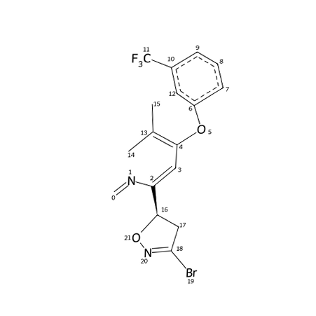 C=N/C(=C\C(Oc1cccc(C(F)(F)F)c1)=C(C)C)[C@H]1CC(Br)=NO1